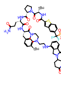 CC(C)(C)c1ccc(C[C@H](NC(=O)[C@H](CCC(N)=O)NC(=O)[C@@H]2CCCN2C(=O)[C@@H](NC(=O)c2cc3cc(C(F)(F)P(=O)(O)O)ccc3s2)C(C)(C)C)C(=O)N2CCN(CCNc3cccc4c3CN(C3CCC(=O)NC3=O)C4=O)CC2)cc1